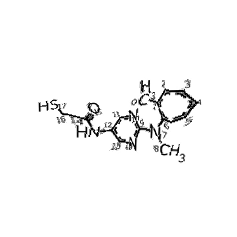 Cc1ccccc1N(C)c1ncc(NC(=O)CS)cn1